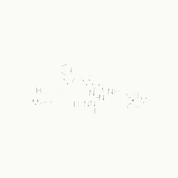 COC[C@H]1O[C@@H](n2cc(C=NNc3nc(NN)nc(NCCC[Si](O)(O)OC)n3)c3ccccc32)CC1O